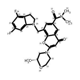 C[C@@H]1CN(c2cc(=O)c3cc(C(=O)N(C)C)cc(CN4CCc5c(F)cc(F)cc54)c3o2)CCO1